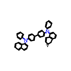 C[C@H]1C=Cc2c(cccc2N(c2ccccc2)c2ccc(-c3ccc(N(c4ccccc4)c4cccc5ccccc45)cc3)cc2)C1